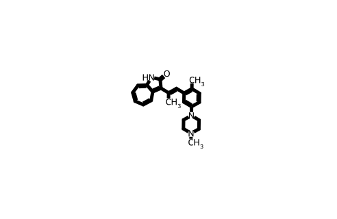 C/C(=C\c1cc(N2CCN(C)CC2)ccc1C)c1c2cccccc-2[nH]c1=O